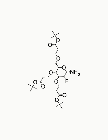 CC(C)(C)OC(=O)CCOC[C@H]1O[C@@H](N)[C@H](F)[C@@H](OCCC(=O)OC(C)(C)C)[C@@H]1OCCC(=O)OC(C)(C)C